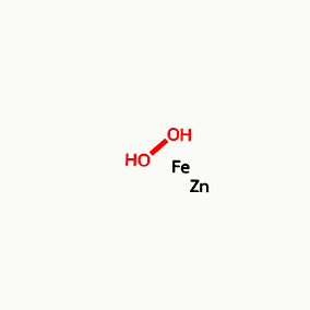 OO.[Fe].[Zn]